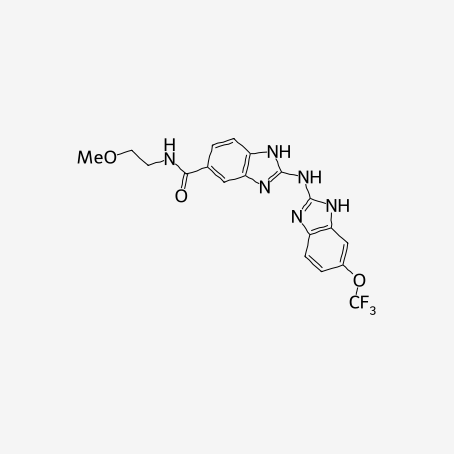 COCCNC(=O)c1ccc2[nH]c(Nc3nc4ccc(OC(F)(F)F)cc4[nH]3)nc2c1